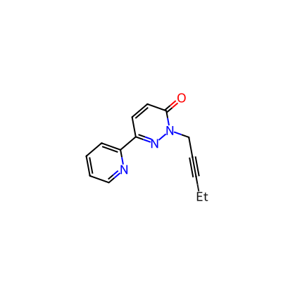 CCC#CCn1nc(-c2ccccn2)ccc1=O